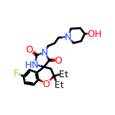 CCC1(CC)CC2(NC(=O)N(CCCN3CCC(O)CC3)C2=O)c2cc(F)ccc2O1